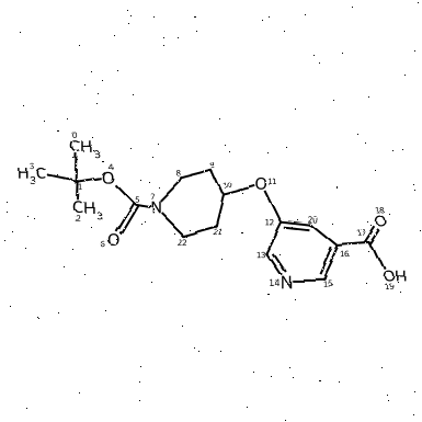 CC(C)(C)OC(=O)N1CCC(Oc2cncc(C(=O)O)c2)CC1